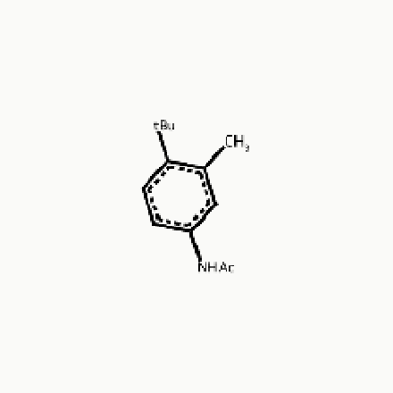 CC(=O)Nc1ccc(C(C)(C)C)c(C)c1